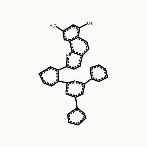 Cc1cc(C)c2ccc3ccc(-c4ccccc4-c4nc(-c5ccccc5)cc(-c5ccccc5)n4)nc3c2n1